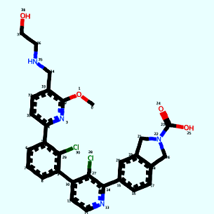 COc1nc(-c2cccc(-c3ccnc(-c4ccc5c(c4)CN(C(=O)O)C5)c3Cl)c2Cl)ccc1CNCCO